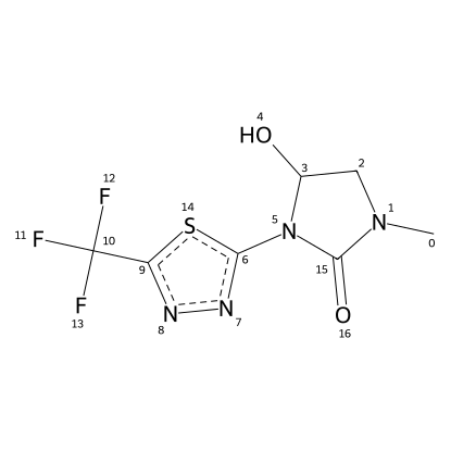 CN1CC(O)N(c2nnc(C(F)(F)F)s2)C1=O